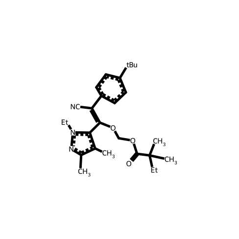 CCn1nc(C)c(C)c1/C(OCOC(=O)C(C)(C)CC)=C(\C#N)c1ccc(C(C)(C)C)cc1